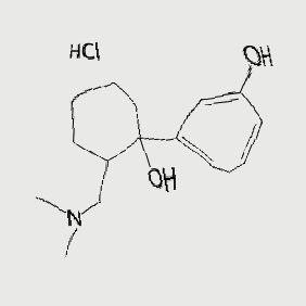 CN(C)CC1CCCCC1(O)c1cccc(O)c1.Cl